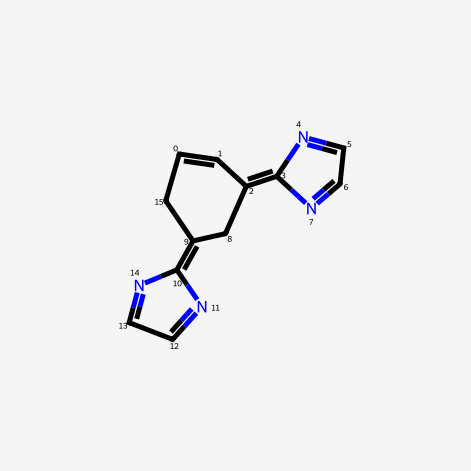 C1=CC(=C2N=CC=N2)CC(=C2N=CC=N2)C1